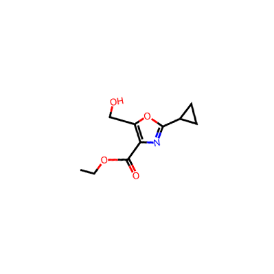 CCOC(=O)c1nc(C2CC2)oc1CO